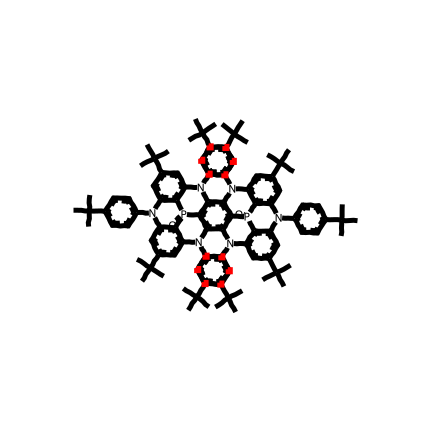 CC(C)(C)c1ccc(N2c3cc(C(C)(C)C)cc4c3P3(=O)c5c2cc(C(C)(C)C)cc5N(c2ccc(C(C)(C)C)cc2)c2c5c6c(c(c23)N4c2ccc(C(C)(C)C)cc2)N(c2ccc(C(C)(C)C)cc2)c2cc(C(C)(C)C)cc3c2P6(=O)c2c(cc(C(C)(C)C)cc2N5c2ccc(C(C)(C)C)cc2)N3c2ccc(C(C)(C)C)cc2)cc1